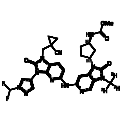 [2H]C([2H])([2H])n1c(=O)n([C@@H]2CC[C@@H](NC(=O)OC)C2)c2cc(Nc3ccc4c(n3)n(-c3cnn(C(F)F)c3)c(=O)n4CC3(C#N)CC3)ncc21